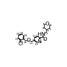 O=C(NCC1CCOCC1)c1ccc(COCc2ccccc2Cl)cn1